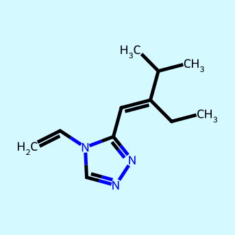 C=Cn1cnnc1/C=C(\CC)C(C)C